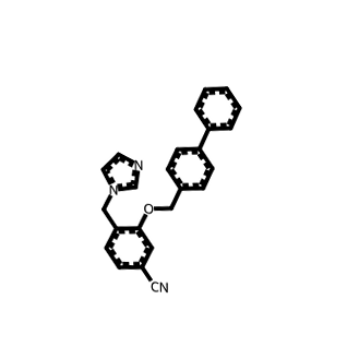 N#Cc1ccc(Cn2ccnc2)c(OCc2ccc(-c3ccccc3)cc2)c1